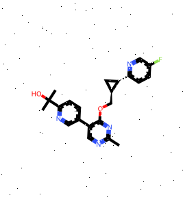 Cc1ncc(-c2ccc(C(C)(C)O)nc2)c(OC[C@H]2C[C@@H]2c2ccc(F)cn2)n1